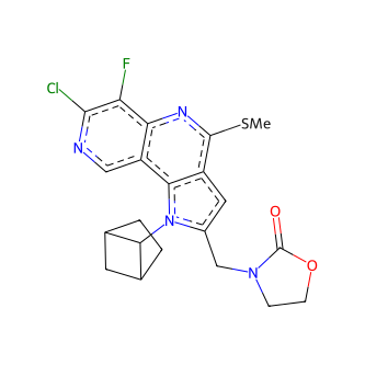 CSc1nc2c(F)c(Cl)ncc2c2c1cc(CN1CCOC1=O)n2C1C2CCC1C2